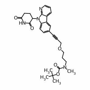 CN(CCCOCC#Cc1ccc2c(c1)c1cccnc1n2C1CCC(=O)NC1=O)C(=O)OC(C)(C)C